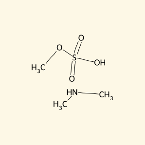 CNC.COS(=O)(=O)O